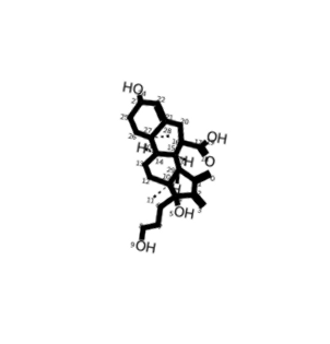 C=C1C(=C)C(O)(CCCO)[C@@]2(C)CC[C@@H]3[C@@H](C(C(=O)O)CC4=CC(O)CC[C@@]43C)[C@H]12